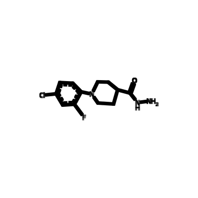 NNC(=O)C1CCN(c2ccc(Cl)cc2F)CC1